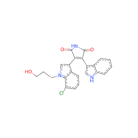 O=C1NC(=O)C(c2cn(CCCO)c3c(Cl)cccc23)=C1c1c[nH]c2ccccc12